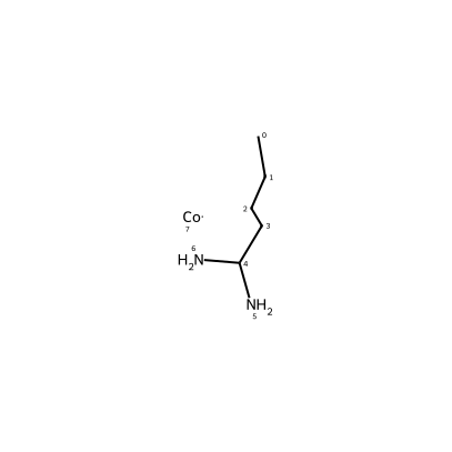 CCCCC(N)N.[Co]